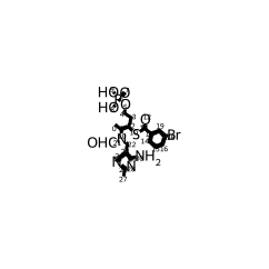 C/C(=C(\CCOP(=O)(O)O)SC(=O)c1cccc(Br)c1)N(C=O)Cc1cnc(C)nc1N